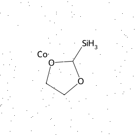 [Co].[SiH3]C1OCCO1